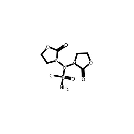 NP(=O)(Cl)N(N1CCOC1=O)N1CCOC1=O